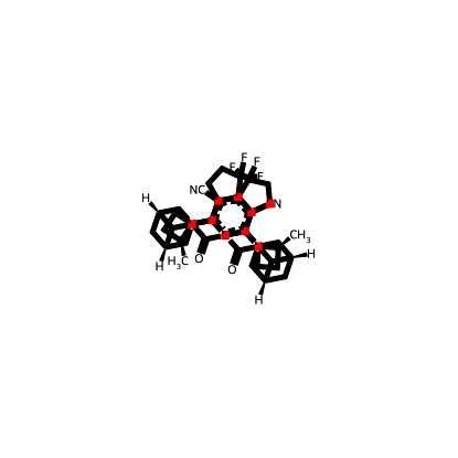 C[C@H]1CCN1c1nc(N2C[C@H]3C[C@@H](C2)C3CC(=O)OC(=O)CC2[C@@H]3C[C@H]2CN(c2nc(N4CC[C@@H]4C)c(C#N)c4c2CCC4(F)F)C3)c2c(c1C#N)C(F)(F)CC2